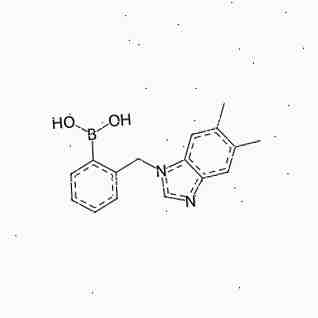 Cc1cc2ncn(Cc3ccccc3B(O)O)c2cc1C